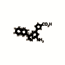 Nc1cc(C2CCC(C(=O)O)C2)nc2c(-c3cnc4ccccc4c3)cnn12